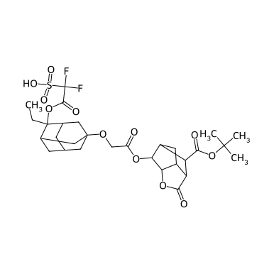 CCC1(OC(=O)C(F)(F)S(=O)(=O)O)C2CC3CC1CC(OCC(=O)OC1C4CC5C1OC(=O)C5C4C(=O)OC(C)(C)C)(C3)C2